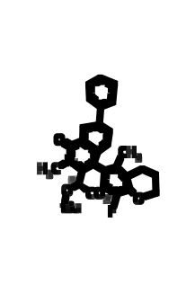 Cc1c(-c2c([C@H](OC(C)(C)C)C(=O)O)n(C)c(=O)c3cc(-c4ccccc4)ccc23)cc(F)c2c1CCCO2